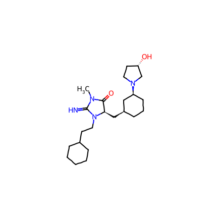 CN1C(=N)N(CCC2CCCCC2)[C@H](C[C@@H]2CCC[C@H](N3CC[C@H](O)C3)C2)C1=O